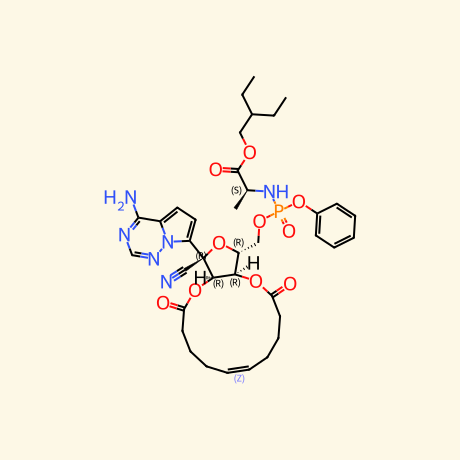 CCC(CC)COC(=O)[C@H](C)NP(=O)(OC[C@H]1O[C@@](C#N)(c2ccc3c(N)ncnn23)[C@@H]2OC(=O)CCC/C=C\CCCC(=O)O[C@@H]21)Oc1ccccc1